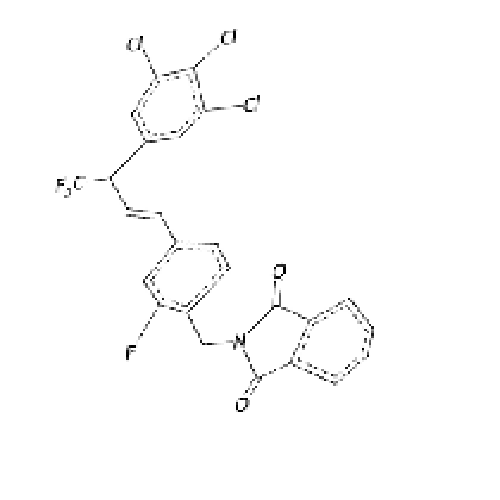 O=C1c2ccccc2C(=O)N1Cc1ccc(/C=C/C(c2cc(Cl)c(Cl)c(Cl)c2)C(F)(F)F)cc1F